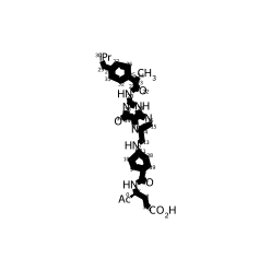 CC(=O)[C@H](CCC(=O)O)NC(=O)c1ccc(NCc2cnc3[nH]c(NC(=O)C(C)c4ccc(CC(C)C)cc4)nc(=O)c3n2)cc1